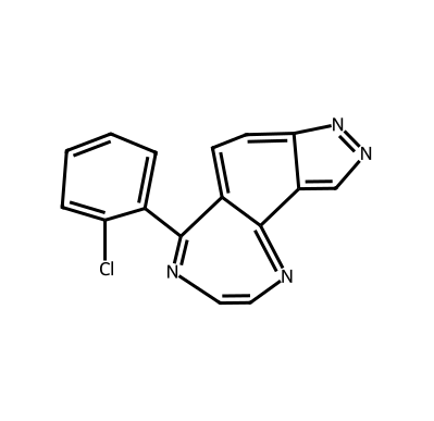 Clc1ccccc1-c1nccnc2c1ccc1nncc12